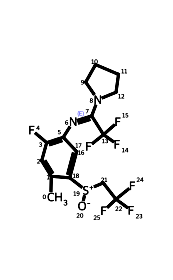 Cc1cc(F)c(/N=C(/N2CCCC2)C(F)(F)F)cc1[S+]([O-])CC(F)(F)F